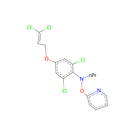 CCCN(Oc1ccccn1)c1c(Cl)cc(OCC=C(Cl)Cl)cc1Cl